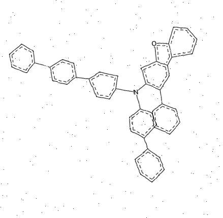 c1ccc(-c2ccc(-c3ccc(N(c4ccc(-c5ccccc5)cc4)c4cc5oc6ccccc6c5cc4-c4ccccc4)cc3)cc2)cc1